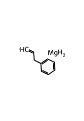 [CH]=CCc1ccccc1.[MgH2]